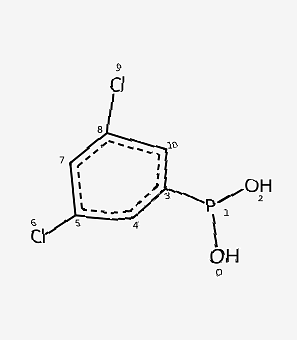 OP(O)c1cc(Cl)cc(Cl)c1